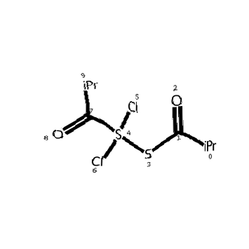 CC(C)C(=O)SS(Cl)(Cl)C(=O)C(C)C